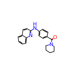 O=C(c1ccc(Nc2ccc3ccccc3n2)cc1)N1CCCCC1